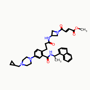 COC(=O)/C=C/C(=O)N1CC(NC(=O)CCc2ccc(N3CCN(CC4CC4)CC3)cc2C(=O)N[C@H](C)c2cccc3ccccc23)C1